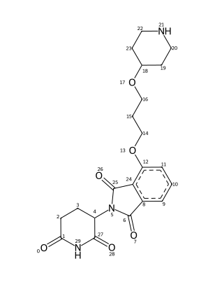 O=C1CCC(N2C(=O)c3cccc(OCCCOC4CCNCC4)c3C2=O)C(=O)N1